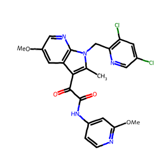 COc1cnc2c(c1)c(C(=O)C(=O)Nc1ccnc(OC)c1)c(C)n2Cc1ncc(Cl)cc1Cl